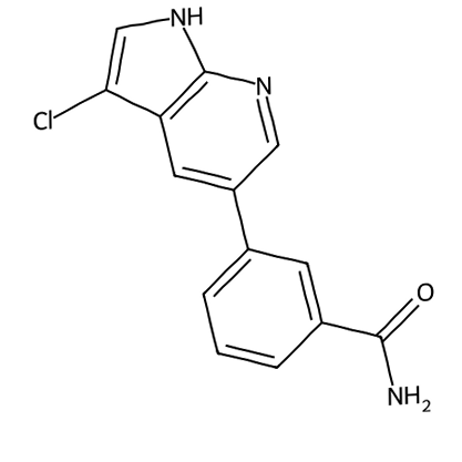 NC(=O)c1cccc(-c2cnc3[nH]cc(Cl)c3c2)c1